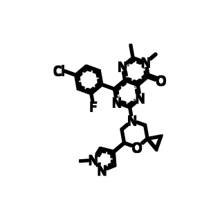 Cc1nc2c(-c3ccc(Cl)cc3F)nc(N3CC(c4cnn(C)c4)OC4(CC4)C3)nc2c(=O)n1C